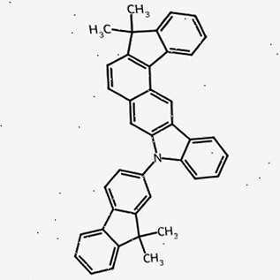 CC1(C)c2ccccc2-c2ccc(-n3c4ccccc4c4cc5c6c(ccc5cc43)C(C)(C)c3ccccc3-6)cc21